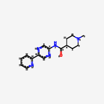 CN1CCC(C(=O)Nc2cnc(-c3ccccn3)cn2)CC1